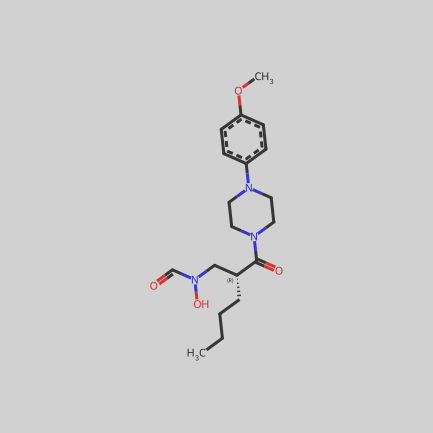 CCCC[C@H](CN(O)C=O)C(=O)N1CCN(c2ccc(OC)cc2)CC1